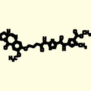 COC(=O)c1cc(NC(=O)c2csc(NC(=O)CCCOc3cc4c(cc3OC)C(=O)N3CCC[C@H]3C=N4)n2)cn1C